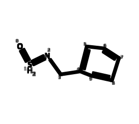 O=[SH2]=NCc1ccccc1